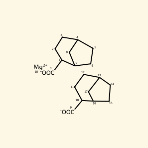 O=C([O-])C1CCC2CCC1C2.O=C([O-])C1CCC2CCC1C2.[Mg+2]